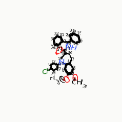 COc1cc2c(cc1OC)N(c1ccc(Cl)cc1)CC(C(=O)NC(c1ccccc1)c1ccccc1)CC2